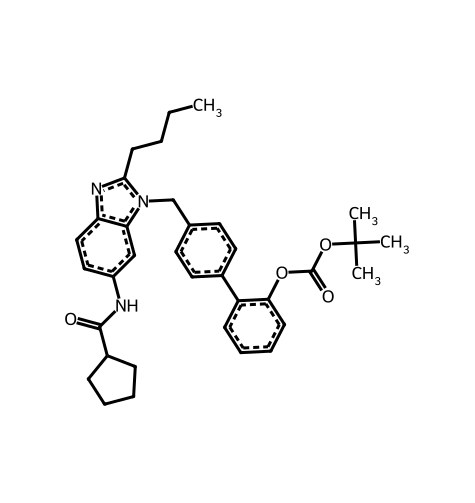 CCCCc1nc2ccc(NC(=O)C3CCCC3)cc2n1Cc1ccc(-c2ccccc2OC(=O)OC(C)(C)C)cc1